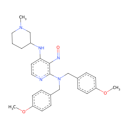 COc1ccc(CN(Cc2ccc(OC)cc2)c2nccc(NC3CCCN(C)C3)c2N=O)cc1